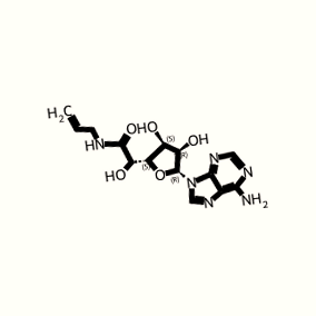 C=CCNC(=O)C(O)[C@H]1O[C@@H](n2cnc3c(N)ncnc32)[C@H](O)[C@@H]1O